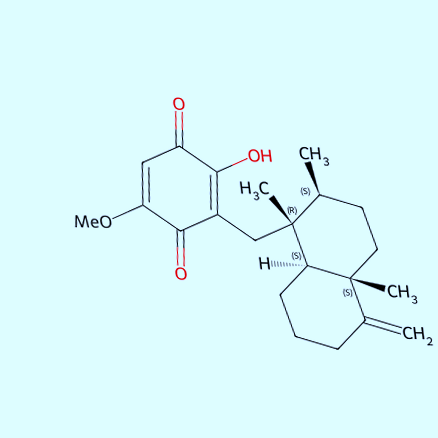 C=C1CCC[C@H]2[C@](C)(CC3=C(O)C(=O)C=C(OC)C3=O)[C@@H](C)CC[C@]12C